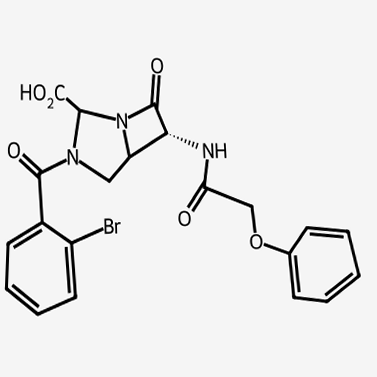 O=C(COc1ccccc1)N[C@H]1C(=O)N2C1CN(C(=O)c1ccccc1Br)C2C(=O)O